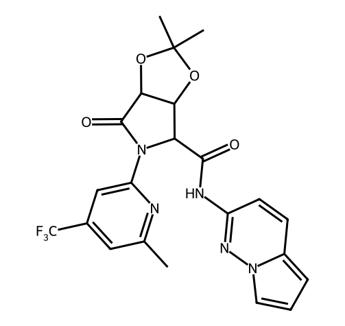 Cc1cc(C(F)(F)F)cc(N2C(=O)C3OC(C)(C)OC3C2C(=O)Nc2ccc3cccn3n2)n1